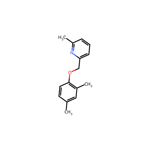 Cc1ccc(OCc2cccc(C)n2)c(C)c1